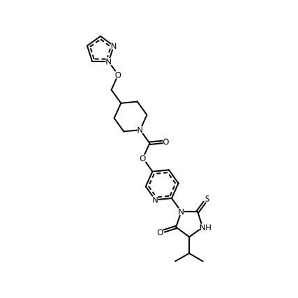 CC(C)C1NC(=S)N(c2ccc(OC(=O)N3CCC(COn4cccn4)CC3)cn2)C1=O